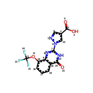 O=C(O)c1cnn(-c2nc3c(OC(F)(F)F)cccc3c(=O)[nH]2)c1